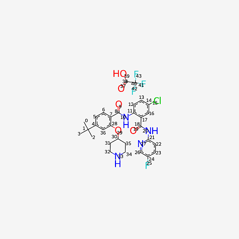 CC(C)(C)c1ccc(C(=O)Nc2ccc(Cl)cc2C(=O)Nc2ccc(F)cn2)c(OC2CCNCC2)c1.O=C(O)C(F)(F)F